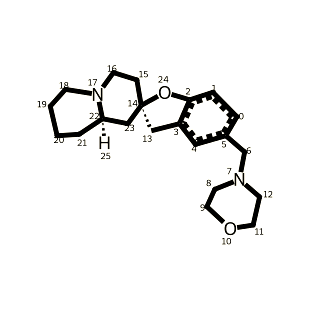 c1cc2c(cc1CN1CCOCC1)C[C@]1(CCN3CCCC[C@@H]3C1)O2